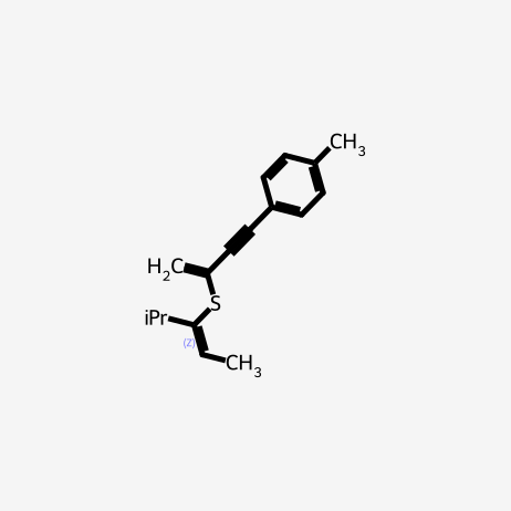 C=C(C#Cc1ccc(C)cc1)S/C(=C\C)C(C)C